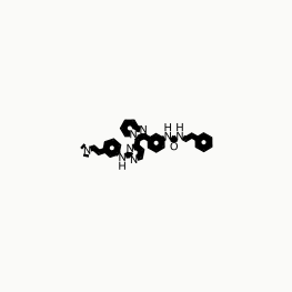 CN(C)CCc1cccc(Nc2nccc(-c3c(-c4cccc(NC(=O)NCCc5ccccc5)c4)nc4ccccn34)n2)c1